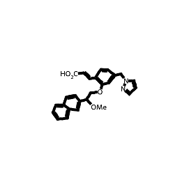 COC(COc1cc(Cn2cccn2)ccc1C=CC(=O)O)c1ccc2ccccc2c1